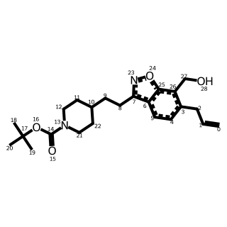 C=CCc1ccc2c(CCC3CCN(C(=O)OC(C)(C)C)CC3)noc2c1CO